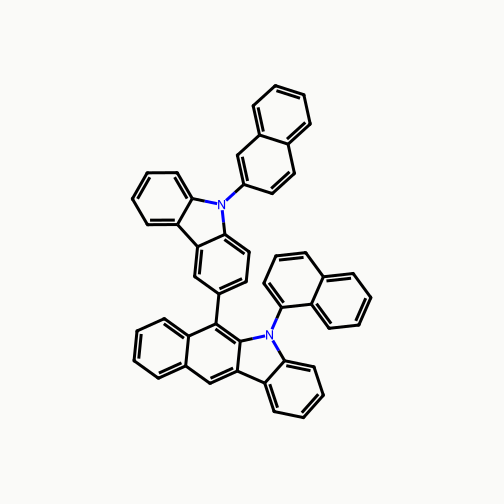 c1ccc2cc(-n3c4ccccc4c4cc(-c5c6ccccc6cc6c7ccccc7n(-c7cccc8ccccc78)c56)ccc43)ccc2c1